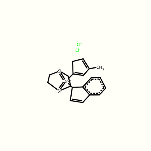 CC1=CC[C]([Zr+2]2([CH]3C=Cc4ccccc43)=[Si]3CC[Si]=2CC3)=C1.[Cl-].[Cl-]